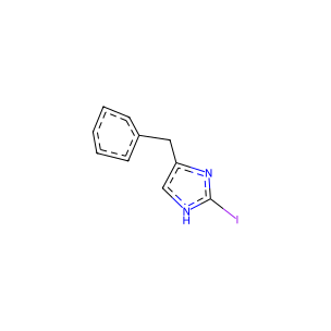 Ic1nc(Cc2ccccc2)c[nH]1